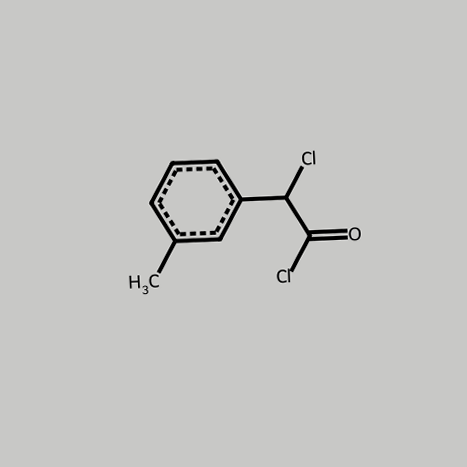 Cc1cccc(C(Cl)C(=O)Cl)c1